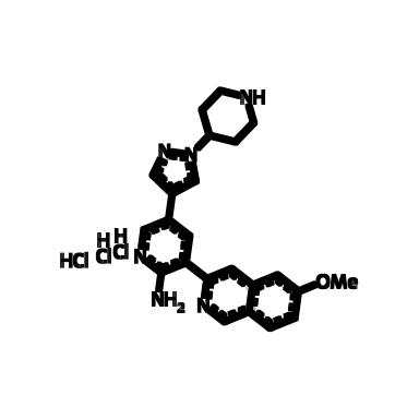 COc1ccc2cnc(-c3cc(-c4cnn(C5CCNCC5)c4)cnc3N)cc2c1.Cl.Cl.Cl